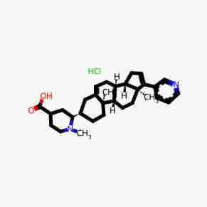 CN1CCC(C(=O)O)CC1[C@H]1CC[C@@]2(C)C(=CC[C@@H]3[C@@H]2CC[C@]2(C)C(c4cccnc4)=CC[C@@H]32)C1.Cl